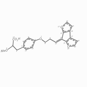 COC(Cc1ccc(OCCC=C2c3occc3-c3ccoc32)cc1)C(=O)O